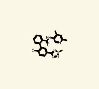 Cc1cc(C)c(NC(=O)c2ccccc2-c2cc(-c3nnn(C)n3)ccc2Cl)cn1